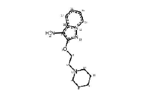 Nc1c(OCCN2CCCCC2)nn2ccccc12